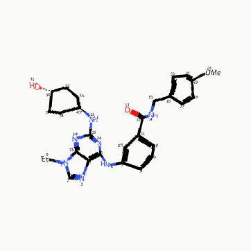 CCn1cnc2c(Nc3cccc(C(=O)NCc4ccc(OC)cc4)c3)nc(N[C@H]3CC[C@H](O)CC3)nc21